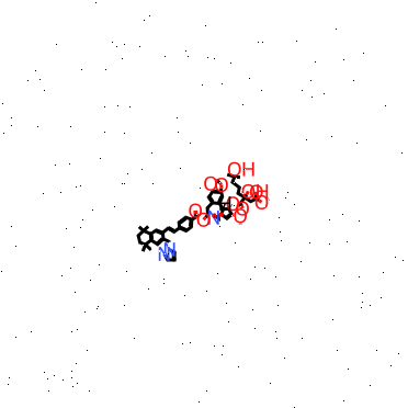 COC(=O)CC(O)(CCCC(C)(C)O)C(=O)O[C@@H]1C(OC)=C[C@]23CCCN2C(OC(=O)c2ccc(/C=C/c4cc5c(cc4Cn4cccn4)C(C)(C)CCC5(C)C)cc2)Cc2cc4c(cc2[C@H]13)OCO4